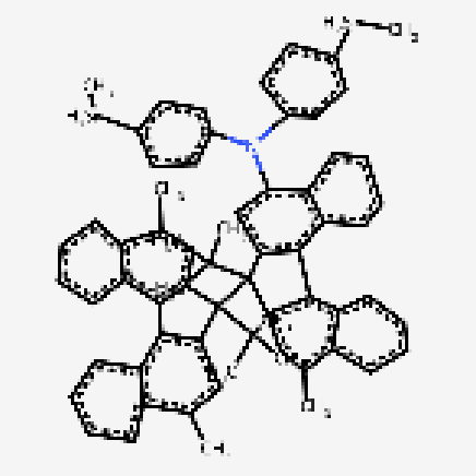 C[SiH2]c1ccc(N(c2ccc([SiH2]C)cc2)c2cc3c(c4ccccc24)-c2c(cc(C)c4ccccc24)C3(C(C)(C)C)C2(C(C)(C)C)c3cc(C)c4ccccc4c3-c3c2cc(C)c2ccccc32)cc1